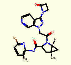 Cc1ccc(Br)nc1NC(=O)[C@@H]1C[C@@]2(C)C[C@H]2N1C(=O)Cn1nc(N2CCC2=O)c2ccncc21